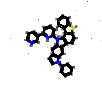 c1ccc(-n2ccc3cc4c(cc32)c2ccc3sc5ccccc5c3c2n4-c2cccc(-c3cccnc3)n2)cc1